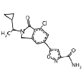 CC(C1CC1)N1Cc2cc(-c3cc(C(N)=O)no3)cc(Cl)c2C1=O